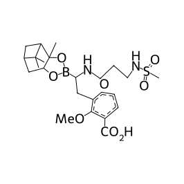 COc1c(CC(NC(=O)CCNS(C)(=O)=O)B2OC3CC4CC(C4(C)C)C3(C)O2)cccc1C(=O)O